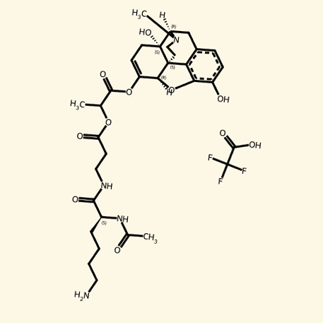 CC(=O)N[C@@H](CCCCN)C(=O)NCCC(=O)OC(C)C(=O)OC1=CC[C@@]2(O)[C@H]3Cc4ccc(O)c5c4[C@@]2(CCN3C)[C@H]1O5.O=C(O)C(F)(F)F